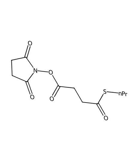 CCCSC(=O)CCC(=O)ON1C(=O)CCC1=O